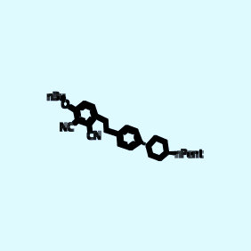 CCCCC[C@H]1CC[C@H](c2ccc(CCc3ccc(OCCCC)c(C#N)c3C#N)cc2)CC1